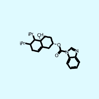 CC(C)C1CC=C2C[C@@H](OC(=O)n3cnc4ccccc43)CC[C@]2(C)C1C(C)C